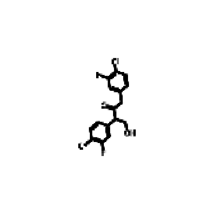 O=C(Cc1ccc(Cl)c(F)c1)C(CO)c1ccc(Cl)c(F)c1